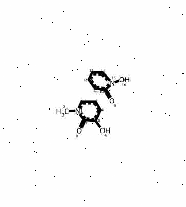 Cn1cccc(O)c1=O.O=c1ccccn1O